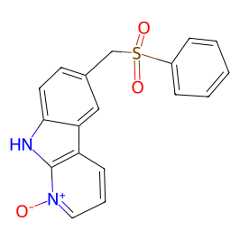 O=S(=O)(Cc1ccc2[nH]c3c(ccc[n+]3[O-])c2c1)c1ccccc1